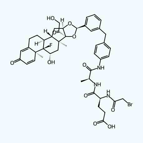 C[C@H](NC(=O)[C@H](CCC(=O)O)NC(=O)CBr)C(=O)Nc1ccc(Cc2cccc([C@@H]3O[C@@H]4C[C@H]5[C@@H]6CCC7=CC(=O)C=C[C@]7(C)[C@@]6(F)[C@@H](O)C[C@]5(C)[C@]4(C(=O)CO)O3)c2)cc1